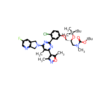 Cc1noc(C)c1-c1nc(-c2cc(OC[C@@H](CN(C)C(=O)OC(C)(C)C)O[Si](C)(C)C(C)(C)C)ccc2Cl)nc(N2Cc3cc(F)cnc3C2)c1C